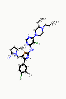 CCOC(=O)CCN1CCN(c2ncnc(Nc3nc(-c4ccc(Cl)c(C(F)(F)F)c4)c(CN4[C@H](N)CC[C@H]4NC)s3)c2F)C[C@H]1COC